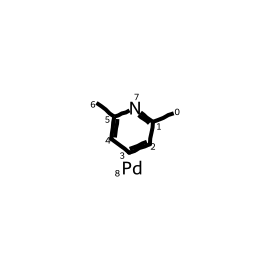 Cc1cccc(C)n1.[Pd]